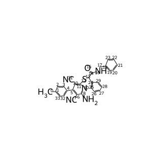 Cc1ccc(-c2c(C#N)c(N)nc(SC(C(=O)NCc3ccccc3)c3ccccc3)c2C#N)cc1